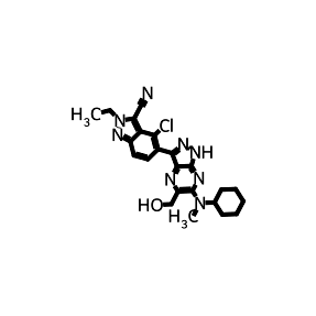 CCn1nc2ccc(-c3n[nH]c4nc(N(C)C5CCCCC5)c(CO)nc34)c(Cl)c2c1C#N